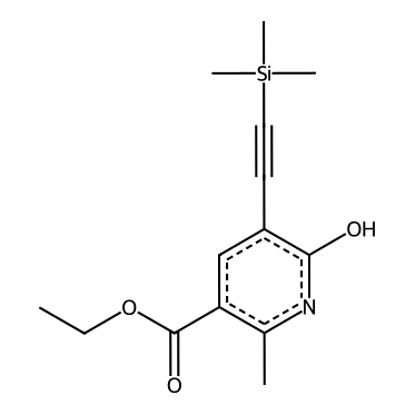 CCOC(=O)c1cc(C#C[Si](C)(C)C)c(O)nc1C